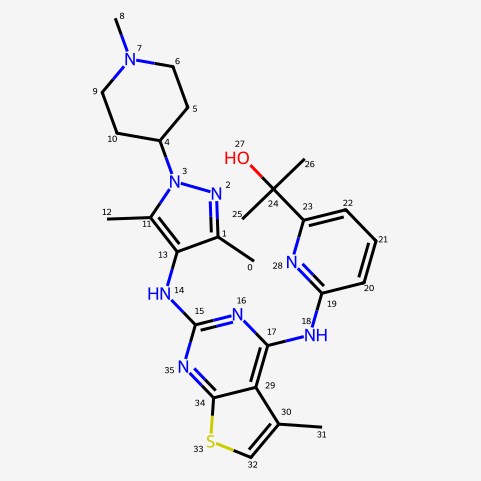 Cc1nn(C2CCN(C)CC2)c(C)c1Nc1nc(Nc2cccc(C(C)(C)O)n2)c2c(C)csc2n1